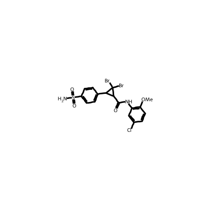 COc1ccc(Cl)cc1NC(=O)C1C(c2ccc(S(N)(=O)=O)cc2)C1(Br)Br